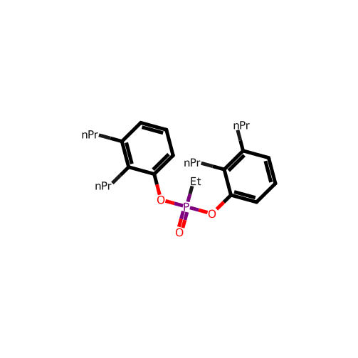 CCCc1cccc(OP(=O)(CC)Oc2cccc(CCC)c2CCC)c1CCC